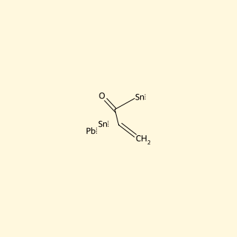 C=C[C](=O)[Sn].[Pb].[Sn]